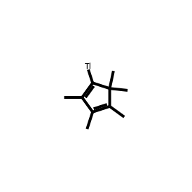 CC1=C(C)C(C)(C)[C]([Tl])=C1C